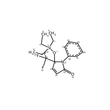 CC[Si](CC)(CC)OC1(C(F)(F)F)C=CC(=O)N1c1ccccc1